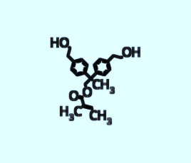 CC=C(C)C(=O)OCC(C)(c1ccc(CCO)cc1)c1ccc(CCO)cc1